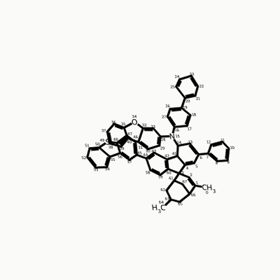 CC1=CC2(C3=CC(c4ccccc4)=CC(N(c4ccc(-c5ccccc5)cc4)c4ccc5c(c4)oc4ccccc45)C3c3cc(-c4ccc5sc6ccccc6c5c4)ccc32)C2CC(C)CC1C2